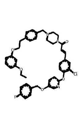 CCOc1cccc(OCCc2ccc(CN3CCN(C(=O)C=Cc4ccc(Oc5ccc(OCc6ccc(F)cc6)cn5)c(Cl)c4)CC3)cc2)c1